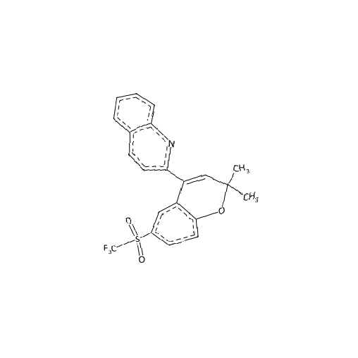 CC1(C)C=C(c2ccc3ccccc3n2)c2cc(S(=O)(=O)C(F)(F)F)ccc2O1